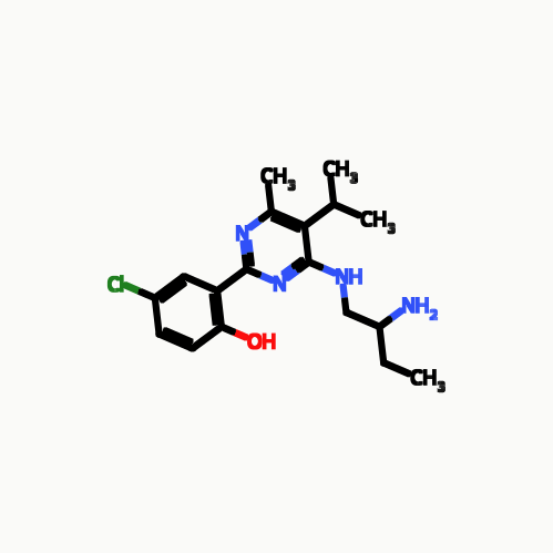 CCC(N)CNc1nc(-c2cc(Cl)ccc2O)nc(C)c1C(C)C